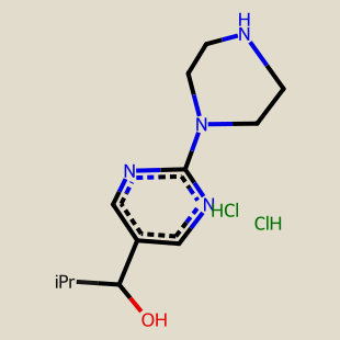 CC(C)C(O)c1cnc(N2CCNCC2)nc1.Cl.Cl